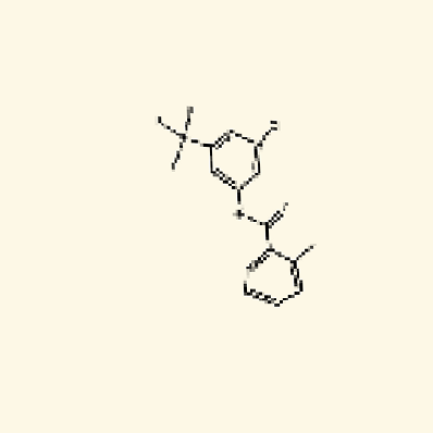 Cc1ccccc1C(=O)Nc1cc(Cl)cc(C(F)(F)F)c1